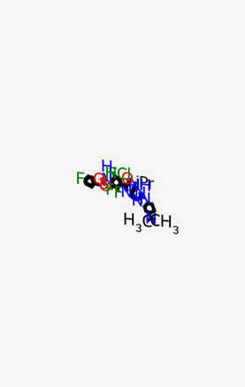 CC(C)n1c(=O)c(-c2cc(F)c(NS(=O)(=O)Cc3ccc(F)cc3)c(F)c2F)nc2cnc(N[C@H]3CC[C@H](N(C)C)CC3)nc21.Cl